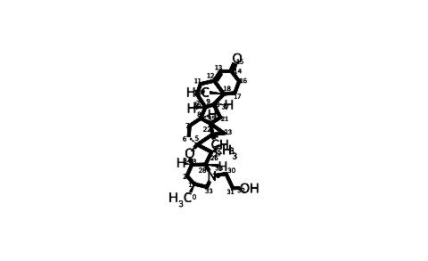 C[C@H]1C[C@H]2O[C@]3(CC[C@H]4[C@@H]5CCC6=CC(=O)CC[C@]6(C)[C@H]5CC45CC53C)[C@H](C)[C@@H]2N(CCO)C1